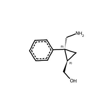 NC[C@]1(c2ccccc2)C[C@H]1CO